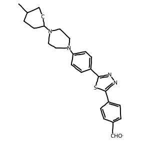 CC1CCC(N2CCN(c3ccc(-c4nnc(-c5ccc([C]=O)cc5)s4)cc3)CC2)CC1